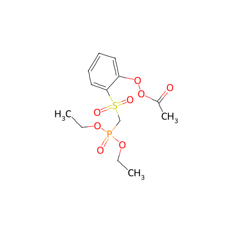 CCOP(=O)(CS(=O)(=O)c1ccccc1OOC(C)=O)OCC